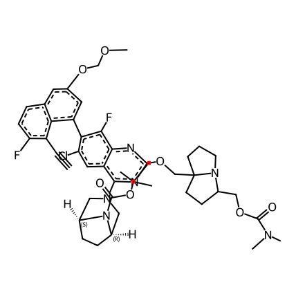 C#Cc1c(F)ccc2cc(OCOC)cc(-c3c(Cl)cc4c(N5C[C@H]6CC[C@@H](C5)N6C(=O)OC(C)(C)C)nc(OCC56CCCN5C(COC(=O)N(C)C)CC6)nc4c3F)c12